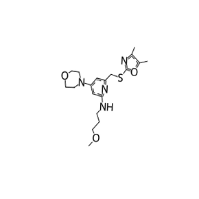 COCCCNc1cc(N2CCOCC2)cc(CSc2nc(C)c(C)o2)n1